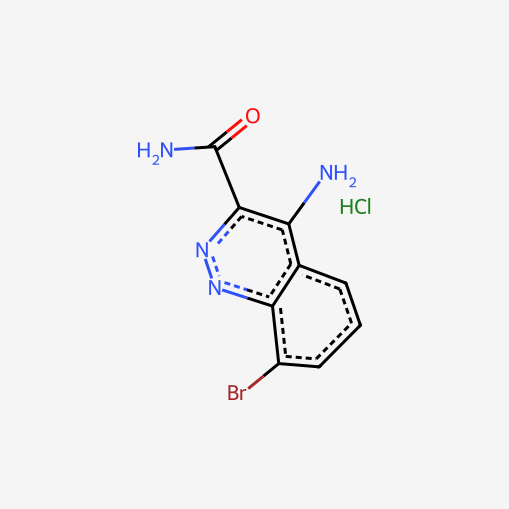 Cl.NC(=O)c1nnc2c(Br)cccc2c1N